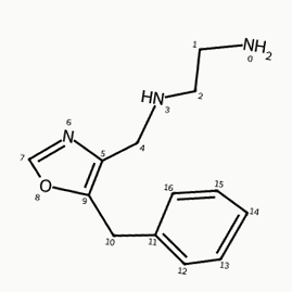 NCCNCc1ncoc1Cc1ccccc1